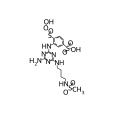 CS(=O)(=O)NCCCCNc1nc(N)nc(Nc2cc(S(=O)(=O)O)ccc2SOOO)n1